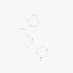 CCc1ccc(C(C)n2cc(-c3cc(=O)[nH]c(C)n3)nn2)c(F)c1F